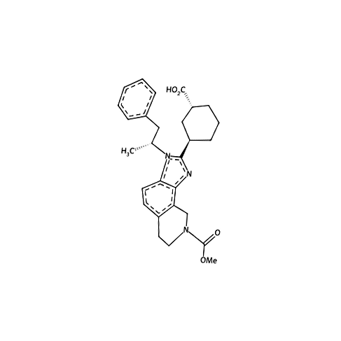 COC(=O)N1CCc2ccc3c(nc([C@@H]4CCC[C@@H](C(=O)O)C4)n3[C@H](C)Cc3ccccc3)c2C1